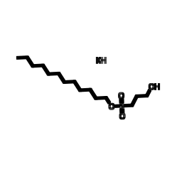 CCCCCCCCCCCCOS(=O)(=O)CCCO.[KH]